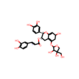 O=C(/C=C/c1ccc(O)c(O)c1)O[C@H]1CC2=C(OC3OCC(O)(CO)C3O)CC(O)C=C2O[C@@H]1c1ccc(O)c(O)c1